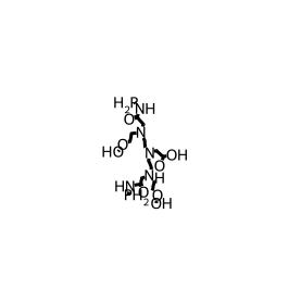 O=C(CN(CCOO)CCN(CCN(CCOO)CC(=O)NP)CC(O)O)NP